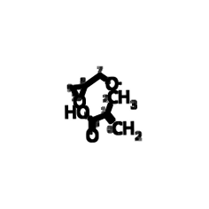 C=C(C)C(=O)O.[O]CC1CO1